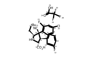 CC(C)(C)C[C@@H]1N[C@@H](C(=O)O)[C@H](c2cccc(F)c2)[C@@]1(C#N)c1ccc(Cl)cc1F.O=C(O)C(F)(F)F